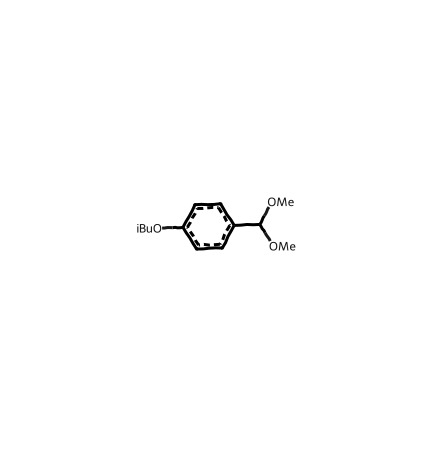 COC(OC)c1ccc(OCC(C)C)cc1